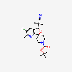 Cc1nc2c(cc1F)C(C(C)(C)C#N)OC21CCN(C(=O)OC(C)(C)C)CC1